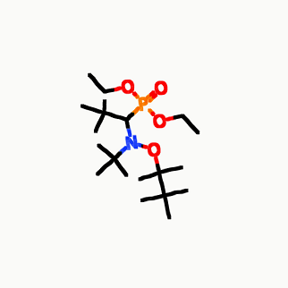 CCOP(=O)(OCC)C(N(OC(C)(C)C(C)(C)C)C(C)(C)C)C(C)(C)C